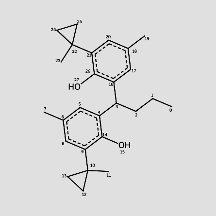 CCCC(c1cc(C)cc(C2(C)CC2)c1O)c1cc(C)cc(C2(C)CC2)c1O